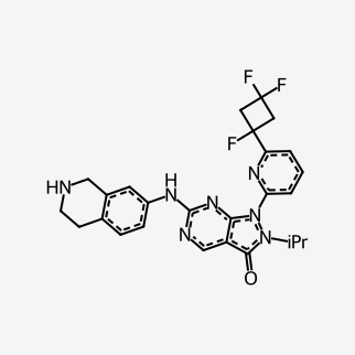 CC(C)n1c(=O)c2cnc(Nc3ccc4c(c3)CNCC4)nc2n1-c1cccc(C2(F)CC(F)(F)C2)n1